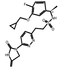 C[C@@H](NS(=O)(=O)CCc1ccc(N2CC(=O)NC2=O)nn1)c1ccc(F)c(OCC2CC2)c1